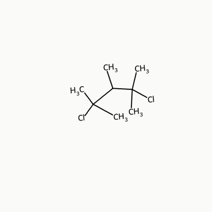 CC(C(C)(C)Cl)C(C)(C)Cl